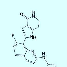 O=C1NCCc2[nH]c(-c3c(F)ccc4ccc(NC5CCCCC5)nc34)cc21